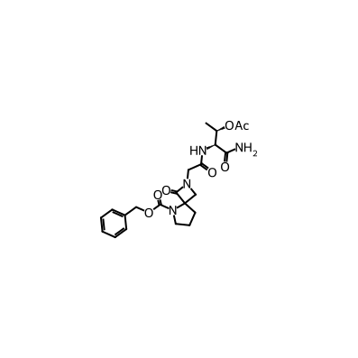 CC(=O)O[C@H](C)[C@H](NC(=O)CN1CC2(CCCN2C(=O)OCc2ccccc2)C1=O)C(N)=O